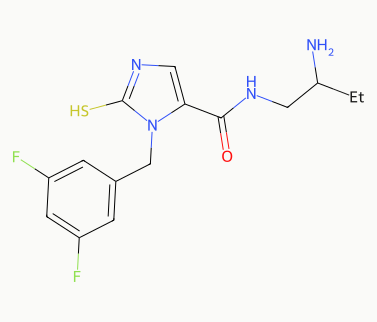 CCC(N)CNC(=O)c1cnc(S)n1Cc1cc(F)cc(F)c1